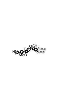 COc1cc2cc(C(=O)N3CCC4(CC3)CCN(c3ccc(-c5cn[nH]c5)c(OC)c3)C4=O)n(C)c2cc1OC